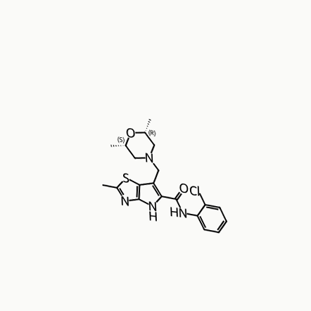 Cc1nc2[nH]c(C(=O)Nc3ccccc3Cl)c(CN3C[C@@H](C)O[C@@H](C)C3)c2s1